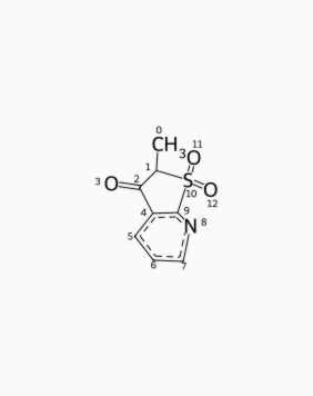 CC1C(=O)c2cccnc2S1(=O)=O